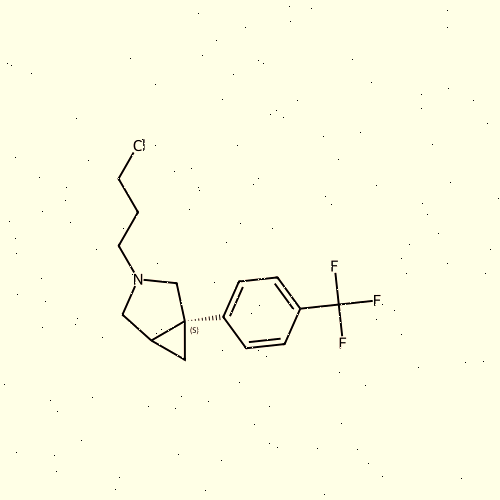 FC(F)(F)c1ccc([C@]23CC2CN(CCCCl)C3)cc1